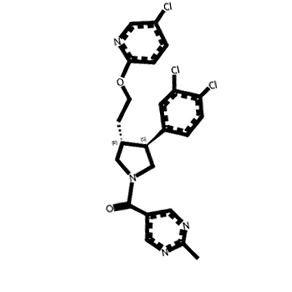 Cc1ncc(C(=O)N2C[C@H](CCOc3ccc(Cl)cn3)[C@@H](c3ccc(Cl)c(Cl)c3)C2)cn1